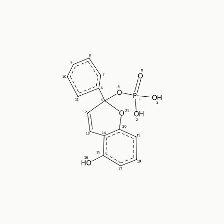 O=P(O)(O)OC1(c2ccccc2)C=Cc2c(O)cccc2O1